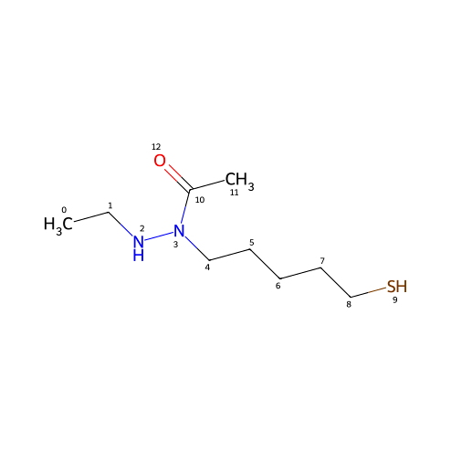 CCNN(CCCCCS)C(C)=O